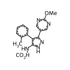 COc1ncc(-c2n[nH]c(NC(=O)O)c2-c2ccccc2C)cn1